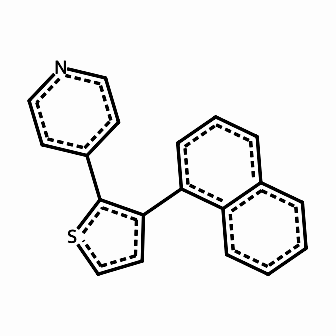 c1ccc2c(-c3ccsc3-c3ccncc3)cccc2c1